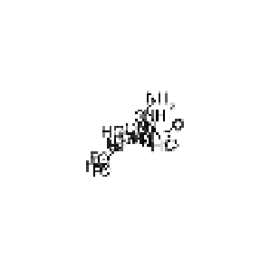 NCCNC(=O)c1nc(NCC(c2ccccc2)c2ccccc2)c2ncn([C@@H]3C[C@H](n4cc(COC(=O)C(F)(F)F)cn4)[C@@H](O)[C@H]3O)c2n1